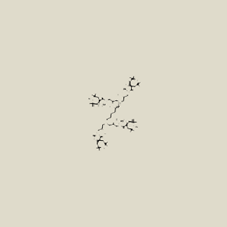 CN1C(C)(C)CC2(CC1(C)C)NC(=O)N(CC(O)CN(CCCCCCN(CC(O)CN1C(=O)NC3(CC(C)(C)N(C)C(C)(C)C3)C1=O)CC(O)CN1C(=O)NC3(CC(C)(C)N(C)C(C)(C)C3)C1=O)CC(O)CN1C(=O)NC3(CC(C)(C)N(C)C(C)(C)C3)C1=O)C2=O